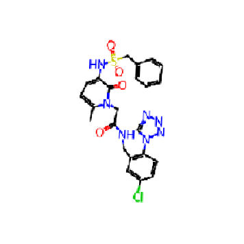 Cc1ccc(NS(=O)(=O)Cc2ccccc2)c(=O)n1CC(=O)NCc1cc(Cl)ccc1-n1cnnn1